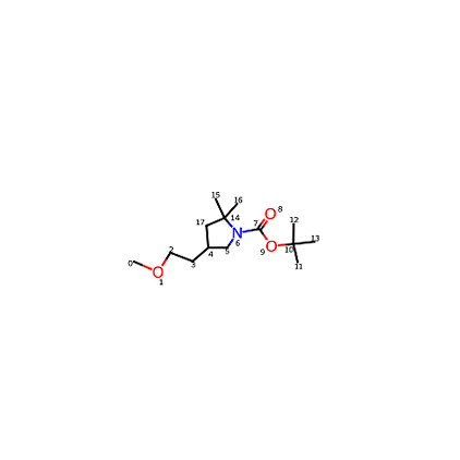 COCCC1CN(C(=O)OC(C)(C)C)C(C)(C)C1